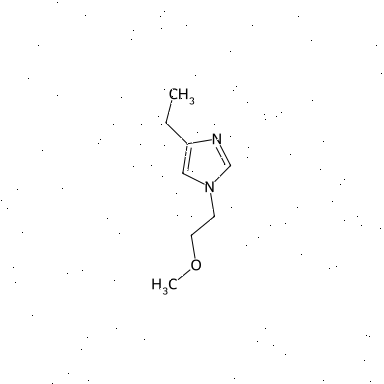 CCc1cn(CCOC)cn1